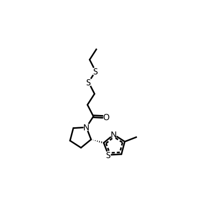 CCSSCCC(=O)N1CCC[C@H]1c1nc(C)cs1